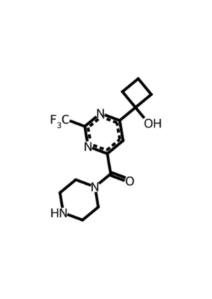 O=C(c1cc(C2(O)CCC2)nc(C(F)(F)F)n1)N1CCNCC1